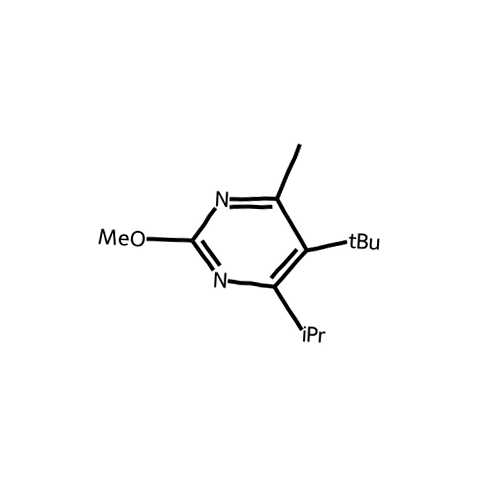 COc1nc(C)c(C(C)(C)C)c(C(C)C)n1